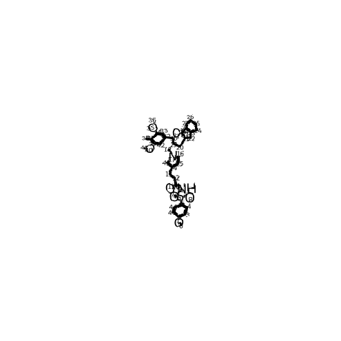 COc1ccc(S(=O)(=O)NC(=O)CCc2ccn(C[C@@H](CC3Cc4ccccc4C3)[C@H](O)c3cc(OC)c(C)c(OC)c3)c2)cc1